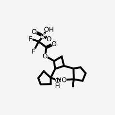 CC1(O)CCCC1C1CC(OC(=O)C(F)(F)S(=O)(=O)O)C1C1(O)CCCC1